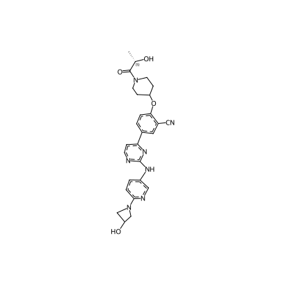 C[C@H](O)C(=O)N1CCC(Oc2ccc(-c3ccnc(Nc4ccc(N5CC(O)C5)nc4)n3)cc2C#N)CC1